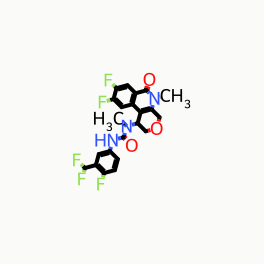 CN(C(=O)Nc1ccc(F)c(C(F)F)c1)C1COCc2c1c1cc(F)c(F)cc1c(=O)n2C